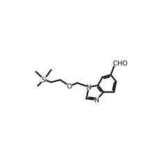 C[Si](C)(C)CCOCn1cnc2ccc(C=O)cc21